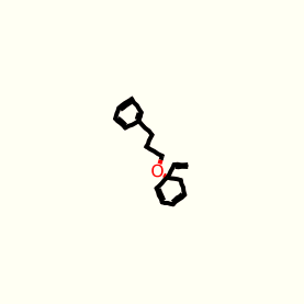 C=CC1(OCCCc2ccccc2)C=CC=CC1